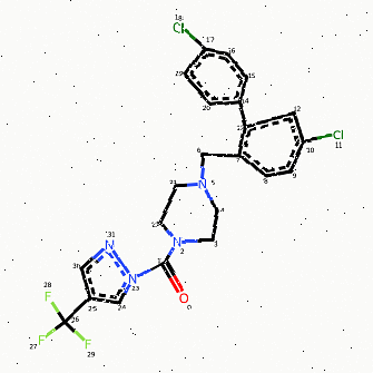 O=C(N1CCN(Cc2ccc(Cl)cc2-c2ccc(Cl)cc2)CC1)n1cc(C(F)(F)F)cn1